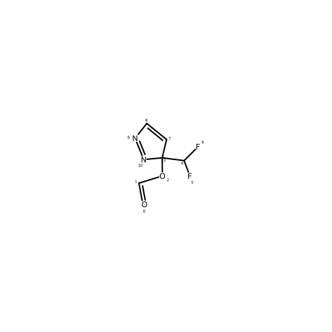 O=COC1(C(F)F)C=CN=N1